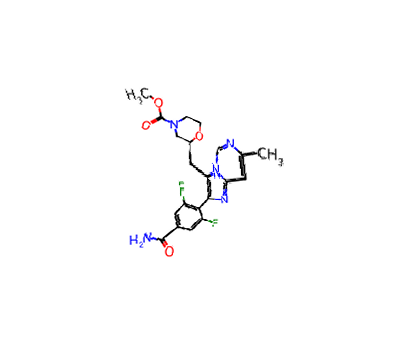 COC(=O)N1CCO[C@@H](Cc2c(-c3c(F)cc(C(N)=O)cc3F)nc3cc(C)ncn23)C1